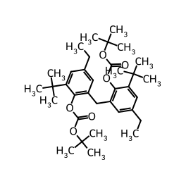 CCc1cc(Cc2cc(CC)cc(C(C)(C)C)c2OC(=O)OC(C)(C)C)c(OC(=O)OC(C)(C)C)c(C(C)(C)C)c1